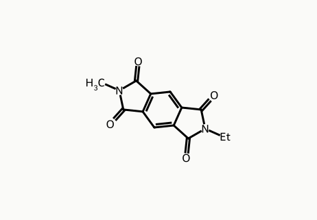 CCn1c(=O)c2cc3c(=O)n(C)c(=O)c3cc2c1=O